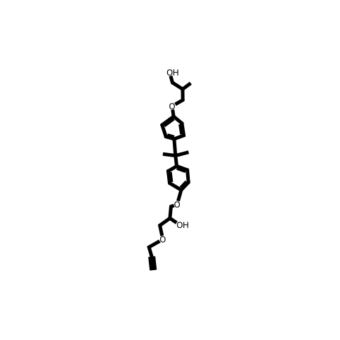 C#CCOCC(O)COc1ccc(C(C)(C)c2ccc(OCC(C)CO)cc2)cc1